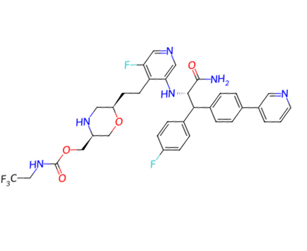 NC(=O)[C@@H](Nc1cncc(F)c1CC[C@@H]1CN[C@H](COC(=O)NCC(F)(F)F)CO1)C(c1ccc(F)cc1)c1ccc(-c2cccnc2)cc1